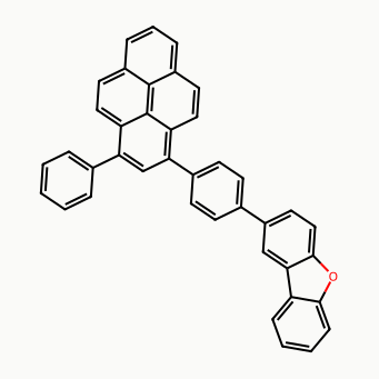 c1ccc(-c2cc(-c3ccc(-c4ccc5oc6ccccc6c5c4)cc3)c3ccc4cccc5ccc2c3c54)cc1